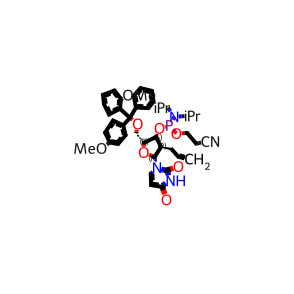 C=CC[C@@H]1[C@H](OP(OCCC#N)N(C(C)C)C(C)C)[C@@H](COC(c2ccccc2)(c2ccc(OC)cc2)c2ccccc2OC)O[C@H]1n1ccc(=O)[nH]c1=O